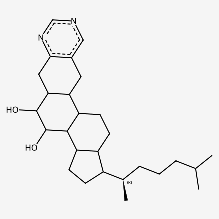 CC(C)CCC[C@@H](C)C1CCC2C1CCC1C3Cc4cncnc4CC3C(O)C(O)C12